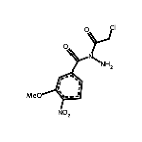 COc1cc(C(=O)N(N)C(=O)CCl)ccc1[N+](=O)[O-]